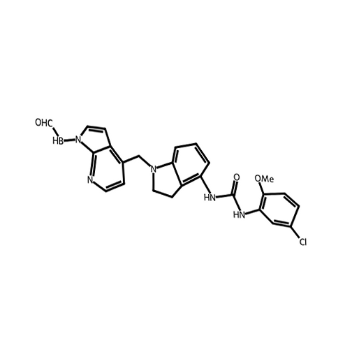 COc1ccc(Cl)cc1NC(=O)Nc1cccc2c1CCN2Cc1ccnc2c1ccn2BC=O